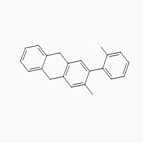 Cc1cc2c(cc1-c1ccccc1[N+](=O)[O-])Cc1ccccc1C2